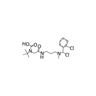 CN(CCCNC(=O)CN(C(=O)O)C(C)(C)C)C(Cl)c1ccccc1Cl